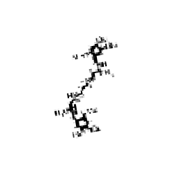 COc1cc(C(C)(C)C)c(C(C)(C)C)cc1CNC(C)CCNCCCNCCC(C)NCc1cc(C(C)(C)C)c(C(C)(C)C)cc1OC